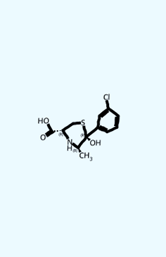 C[C@H]1N[C@H](C(=O)O)CS[C@]1(O)c1cccc(Cl)c1